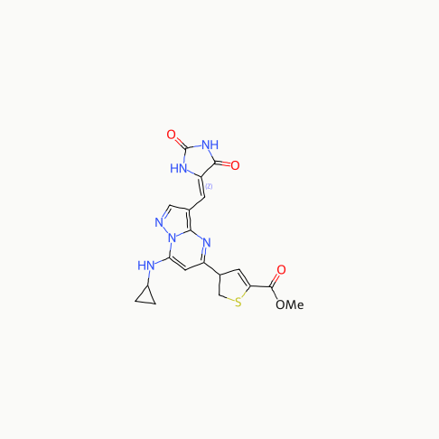 COC(=O)C1=CC(c2cc(NC3CC3)n3ncc(/C=C4\NC(=O)NC4=O)c3n2)CS1